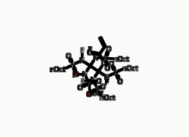 C=CC(=O)OC(N(F)S(=O)(=O)CCCCCCCC)(N(F)S(=O)(=O)CCCCCCCC)C(N(F)S(=O)(=O)CCCCCCCC)(N(F)S(=O)(=O)CCCCCCCC)N(F)S(=O)(=O)CCCCCCCC